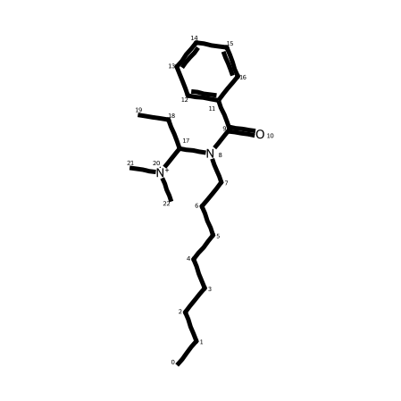 CCCCCCCCN(C(=O)c1ccccc1)C(CC)[N+](C)C